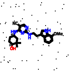 COc1cccc2c(CCNc3ncc(C#N)c(N[C@@H]4CC[C@H](O)C(C)(C)C4)n3)c[nH]c12